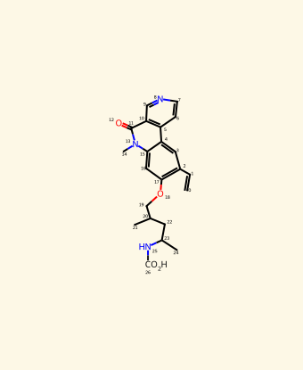 C=Cc1cc2c3ccncc3c(=O)n(C)c2cc1OCC(C)CC(C)NC(=O)O